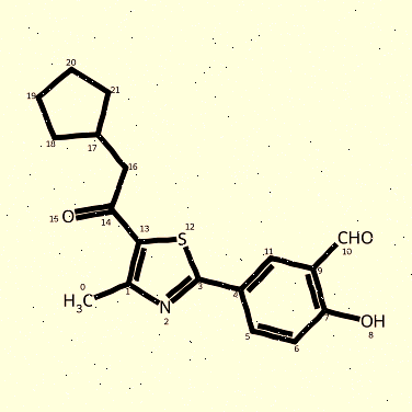 Cc1nc(-c2ccc(O)c(C=O)c2)sc1C(=O)CC1CCCC1